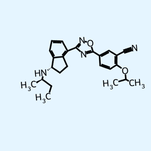 CC[C@@H](C)N[C@H]1CCc2c(-c3noc(-c4ccc(OC(C)C)c(C#N)c4)n3)cccc21